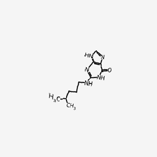 CC(C)CCCNc1nc2[nH]cnc2c(=O)[nH]1